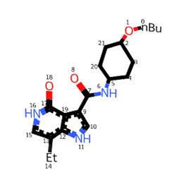 CCCCOC1CCC(NC(=O)c2c[nH]c3c(CC)c[nH]c(=O)c23)CC1